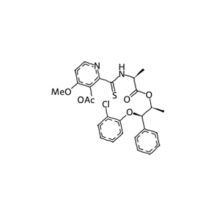 COc1ccnc(C(=S)N[C@@H](C)C(=O)O[C@@H](C)[C@H](Oc2ccccc2Cl)c2ccccc2)c1OC(C)=O